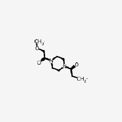 [CH2]CC(=O)N1CCN(C(=O)CO[CH2])CC1